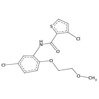 COCCOc1ccc(Cl)cc1NC(=O)c1sccc1Cl